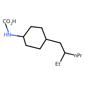 CCCC(CC)CC1CCC(NC(=O)O)CC1